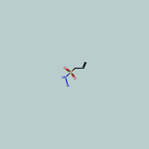 C=CCS(=O)(=O)N[N]